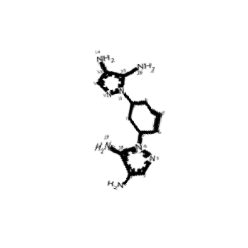 Nc1cnn(C2CCCC(n3ncc(N)c3N)C2)c1N